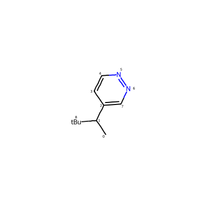 CC(c1ccnnc1)C(C)(C)C